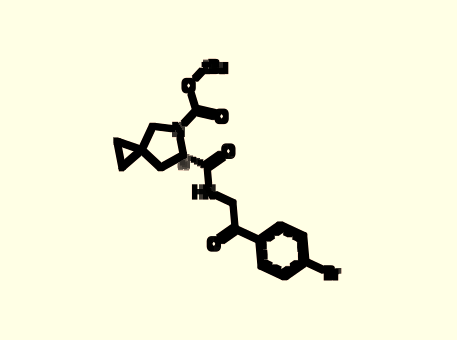 CC(C)(C)OC(=O)N1CC2(CC2)C[C@H]1C(=O)NCC(=O)c1ccc(Br)cc1